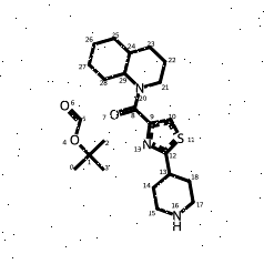 CC(C)(C)OC=O.O=C(c1csc(C2CCNCC2)n1)N1CCCC2CCCCC21